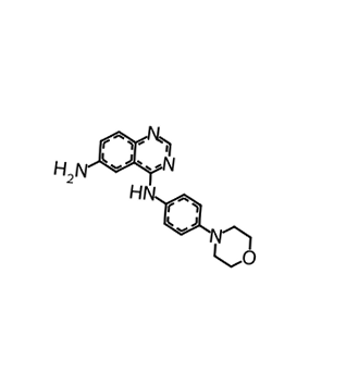 Nc1ccc2ncnc(Nc3ccc(N4CCOCC4)cc3)c2c1